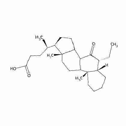 CC[C@H]1C(=O)C2C3CC[C@H]([C@H](C)CCC(=O)O)[C@@]3(C)CCC2[C@@]2(C)CCCC[C@@H]12